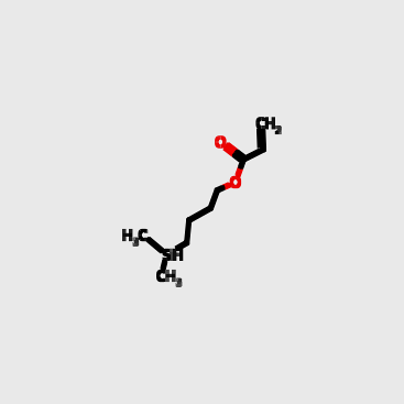 C=CC(=O)OCCCC[SiH](C)C